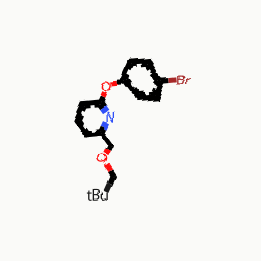 CC(C)(C)COCc1cccc(Oc2ccc(Br)cc2)n1